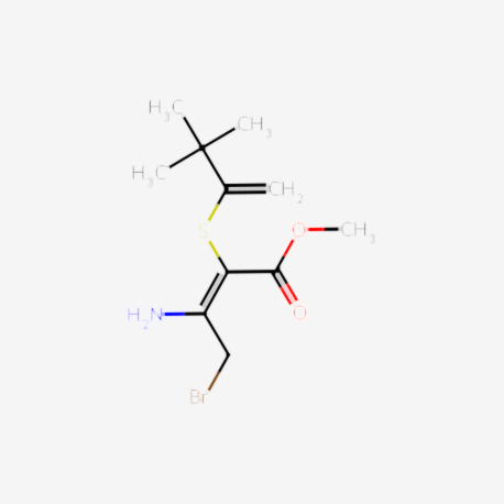 C=C(S/C(C(=O)OC)=C(\N)CBr)C(C)(C)C